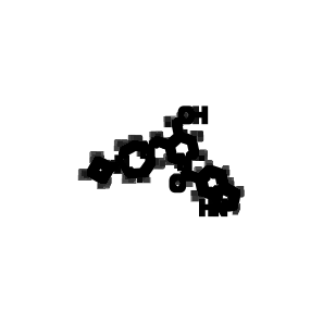 O=C(c1ccc2cc[nH]c2c1)N1CCC(CO)C(CN2CCCN(C3CCC3)CC2)C1